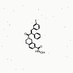 O=C(NO)c1ccc2c(c1)CN(C(=O)C(=Cc1cccc(F)c1)c1ccccc1)CC2